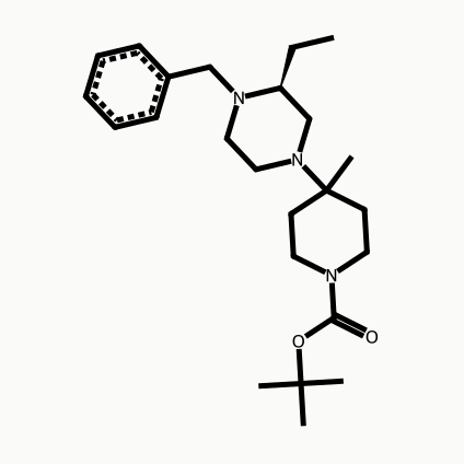 CC[C@H]1CN(C2(C)CCN(C(=O)OC(C)(C)C)CC2)CCN1Cc1ccccc1